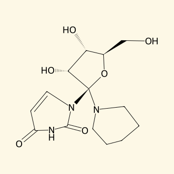 O=c1ccn([C@]2(N3CCCCC3)O[C@H](CO)[C@@H](O)[C@H]2O)c(=O)[nH]1